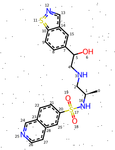 C[C@H](CNCC(O)c1ccc2sncc2c1)NS(=O)(=O)c1ccc2cnccc2c1